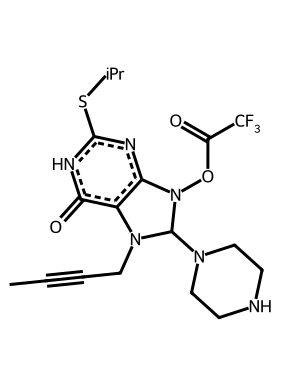 CC#CCN1c2c(nc(SC(C)C)[nH]c2=O)N(OC(=O)C(F)(F)F)C1N1CCNCC1